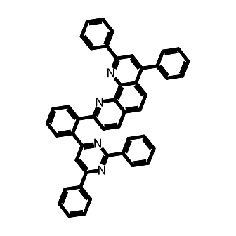 c1ccc(-c2cc(-c3ccccc3-c3ccc4ccc5c(-c6ccccc6)cc(-c6ccccc6)nc5c4n3)nc(-c3ccccc3)n2)cc1